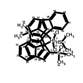 C[SiH](C)[Hf]([Cl])([Cl])([C]1(c2ccccc2)C([Si](C)(C)C)=Cc2ccccc21)[C]1(c2ccccc2)C([Si](C)(C)C)=Cc2ccccc21